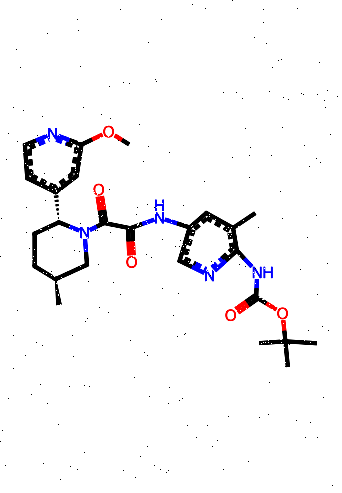 COc1cc([C@H]2CC[C@H](C)CN2C(=O)C(=O)Nc2cnc(NC(=O)OC(C)(C)C)c(C)c2)ccn1